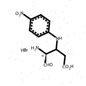 Br.N[C@H](C=O)C(CC(=O)O)Nc1ccc([N+](=O)[O-])cc1